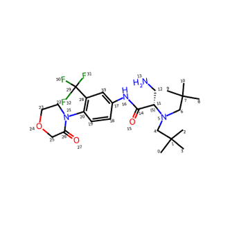 CC(C)(C)CN(CC(C)(C)C)[C@@H](CN)C(=O)Nc1ccc(N2CCOCC2=O)c(C(F)(F)F)c1